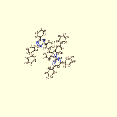 c1ccc(-c2cccc(-c3nc(-c4ccccc4)nc(-c4cccc(-c5cccc6c5c5cc(-c7ccccc7)ccc5n6-c5nc(-c6ccccc6)cc(-c6ccccc6)n5)c4)n3)c2)cc1